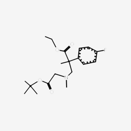 CCOC(=O)C(C)(CN(C)CC(=O)OC(C)(C)C)c1ccc(F)cc1